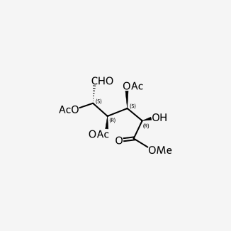 COC(=O)[C@H](O)[C@H](OC(C)=O)[C@@H](OC(C)=O)[C@@H](C=O)OC(C)=O